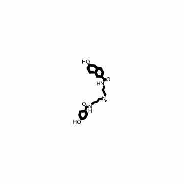 CN(CCCNC(=O)c1ccc(O)cc1)CCCNC(=O)c1ccc2cc(O)ccc2c1